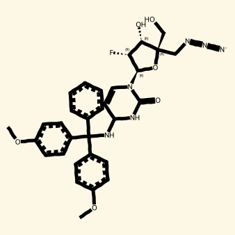 COc1ccc(C(NC2C=CN([C@@H]3O[C@@](CO)(CN=[N+]=[N-])[C@@H](O)[C@H]3F)C(=O)N2)(c2ccccc2)c2ccc(OC)cc2)cc1